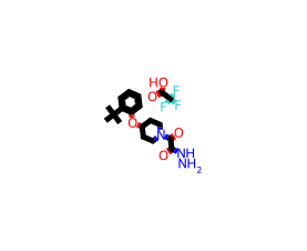 CC(C)(C)c1ccccc1OC1CCN(C(=O)C(=O)NN)CC1.O=C(O)C(F)(F)F